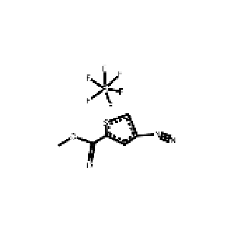 COC(=O)c1cc([N+]#N)cs1.F[P-](F)(F)(F)(F)F